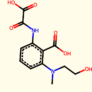 CN(CCO)c1cccc(NC(=O)C(=O)O)c1C(=O)O